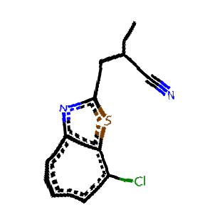 CC(C#N)Cc1nc2cccc(Cl)c2s1